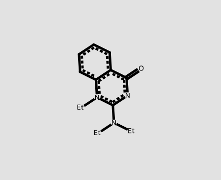 CCN(CC)c1nc(=O)c2ccccc2n1CC